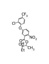 CC[PH](=O)C(C)OC(=O)c1cc(Oc2ccc(C(F)(F)F)cc2Cl)ccc1[N+](=O)[O-]